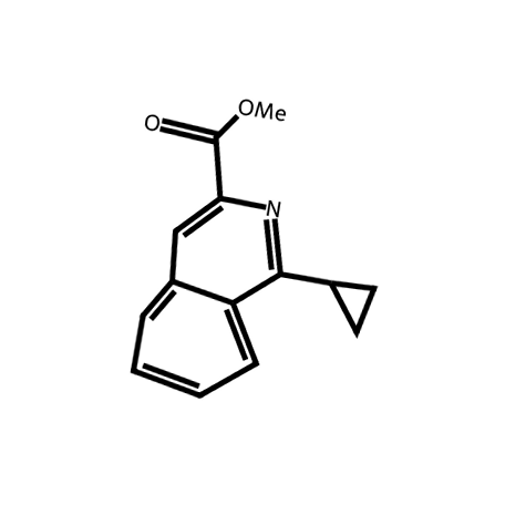 COC(=O)c1cc2ccccc2c(C2CC2)n1